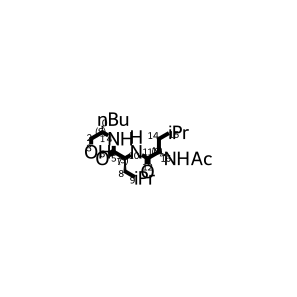 CCCC[C@@H](CO)NC(=O)[C@H](CC(C)C)NC(=O)[C@H](CC(C)C)NC(C)=O